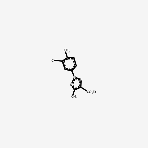 CCOC(=O)c1nn(-c2ccc(C)c(Cl)c2)nc1C